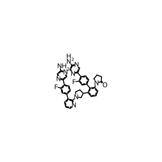 Nc1cnc(-c2ccc(-c3cccnc3N3CCC(c4cccc(N5CCCC5=O)c4-c4ccc(-c5cnc(N)cn5)c(F)c4)C3)cc2F)cn1